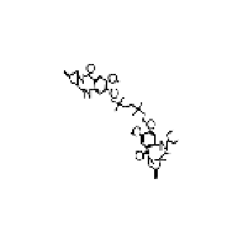 C=C1CC2C=Nc3cc(OCC(C)(C)CCC(C)(C)CCOc4cc5c(cc4OC)C(=O)N4CC(=C)C[C@@]4(C)C(C)N5C(CC)CC)c(OC)cc3C(=O)N2C1